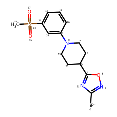 CC(C)c1noc(C2CCN(c3c[c]cc(S(C)(=O)=O)c3)CC2)n1